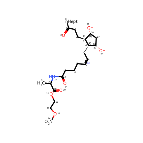 CCCCCCCC(=O)CC[C@@H]1[C@@H](C/C=C\CCCC(=O)NC(C)C(=O)OCCO[N+](=O)[O-])[C@@H](O)C[C@H]1O